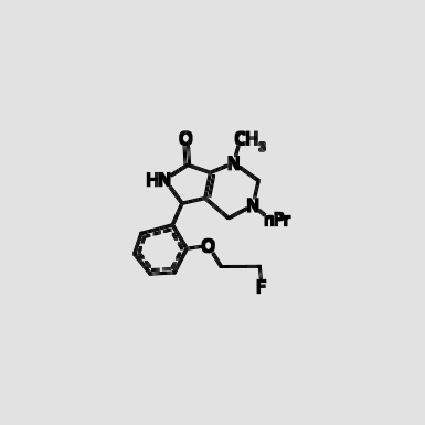 CCCN1CC2=C(C(=O)NC2c2ccccc2OCCF)N(C)C1